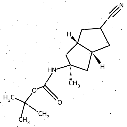 CC(C)(C)OC(=O)N[C@]1(C)C[C@H]2CC(C#N)C[C@H]2C1